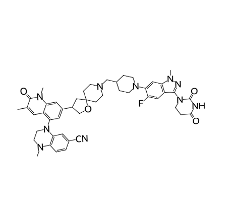 Cc1cc2c(N3CCN(C)c4ccc(C#N)cc43)cc(C3COC4(CCN(CC5CCN(c6cc7c(cc6F)c(N6CCC(=O)NC6=O)nn7C)CC5)CC4)C3)cc2n(C)c1=O